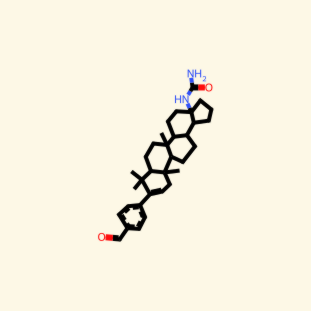 CC1(C)C(c2ccc(C=O)cc2)=CCC2(C)C1CCC1(C)C3CCC4(NC(N)=O)CCCC4C3CCC12